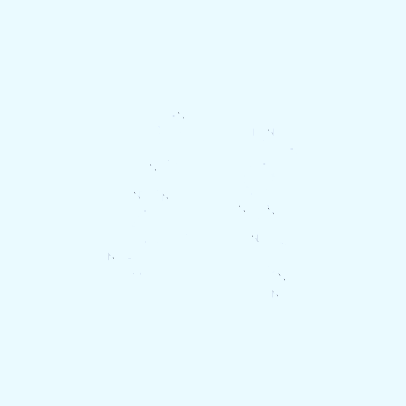 CCc1nc(C)oc1C(=O)Nc1nc2cc(C(N)=O)cc(OCCCO)c2n1CC=CCn1c(NC(=O)c2cc(C)nn2CC)nc2cc(C(N)=O)ccc21